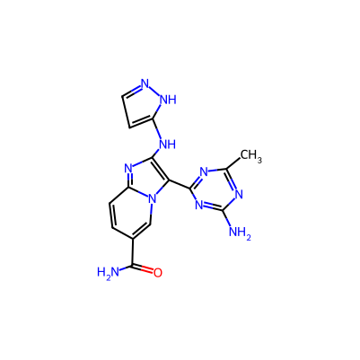 Cc1nc(N)nc(-c2c(Nc3ccn[nH]3)nc3ccc(C(N)=O)cn23)n1